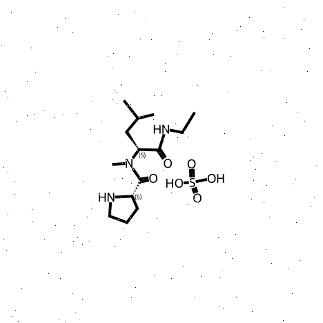 CCNC(=O)[C@H](CC(C)C)N(C)C(=O)[C@@H]1CCCN1.O=S(=O)(O)O